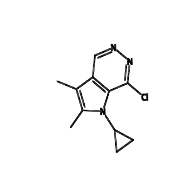 Cc1c(C)n(C2CC2)c2c(Cl)nncc12